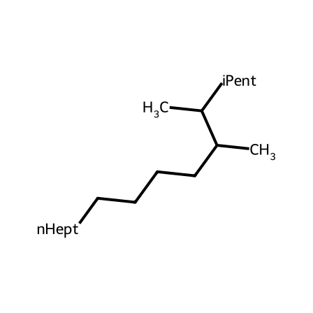 [CH2]CCCCCCCCCCC(C)C(C)C(C)CCC